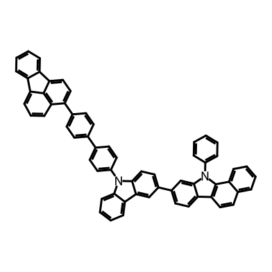 c1ccc(-n2c3cc(-c4ccc5c(c4)c4ccccc4n5-c4ccc(-c5ccc(-c6ccc7c8c(cccc68)-c6ccccc6-7)cc5)cc4)ccc3c3ccc4ccccc4c32)cc1